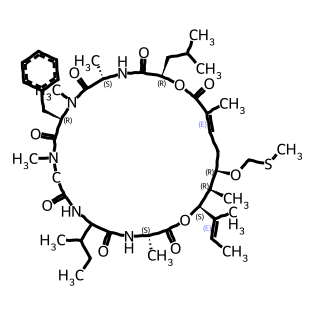 C/C=C(\C)[C@H]1OC(=O)[C@H](C)NC(=O)C(C(C)CC)NC(=O)CN(C)C(=O)[C@@H](Cc2ccccc2)N(C)C(=O)[C@H](C)NC(=O)[C@@H](CC(C)C)OC(=O)/C(C)=C/C[C@@H](OCSC)[C@H]1C